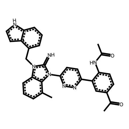 CC(=O)Nc1ccc(C(C)=O)cc1-c1ccc(-n2c(=N)n(Cc3cccc4[nH]ccc34)c3cccc(C)c32)nn1